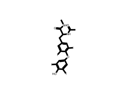 CNC(=O)C(Cc1cc(I)c(Oc2cc(I)c(O)c(I)c2)c(I)c1)NC(C)=O